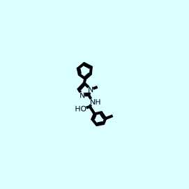 Cc1cccc(C(O)Nc2ncc(-c3ccccc3)n2C)c1